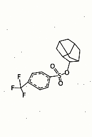 O=S(=O)(OC1C2CC3CC(C2)CC1C3)c1ccc(C(F)(F)F)cc1